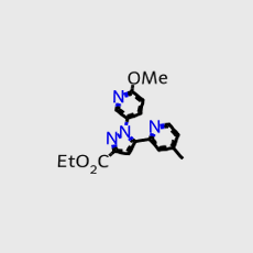 CCOC(=O)c1cc(-c2cc(C)ccn2)n(-c2ccc(OC)nc2)n1